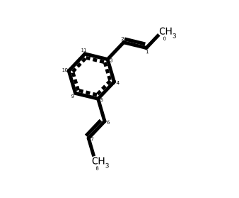 CC=Cc1[c]c(C=CC)ccc1